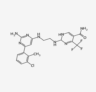 Cc1c(Cl)cccc1-c1cc(NCCNC2N=C(C(F)(F)F)C(C(N)=O)=CN2)nc(N)n1